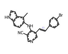 Cc1c(Nc2c(C#N)cncc2/C=C/c2ccc(Br)cc2)ccc2[nH]ccc12